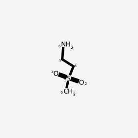 CS(=O)(=O)[CH]CN